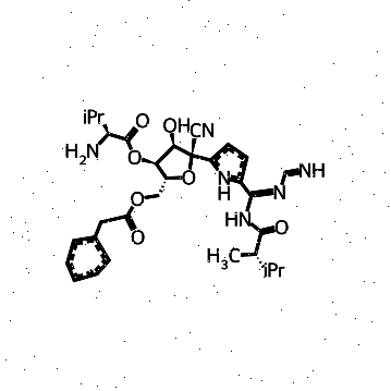 CC(C)[C@H](C)C(=O)N/C(=N/C=N)c1ccc([C@]2(C#N)O[C@H](COC(=O)Cc3ccccc3)[C@@H](OC(=O)[C@@H](N)C(C)C)[C@H]2O)[nH]1